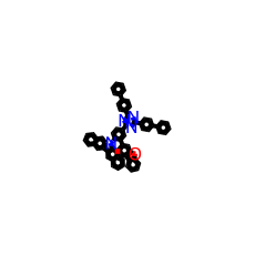 c1ccc(-c2ccc(-c3nc(-c4ccc(-c5ccccc5)cc4)nc(-c4ccc(-n5c6cc7ccccc7cc6c6cc7ccccc7cc65)c(-c5ccc6c(c5)oc5ccccc56)c4)n3)cc2)cc1